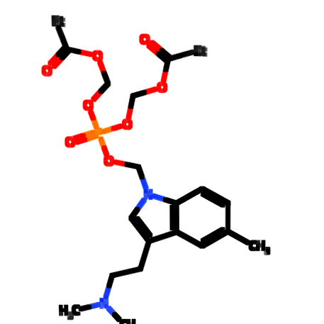 CCC(=O)OCOP(=O)(OCOC(=O)CC)OCn1cc(CCN(C)C)c2cc(C)ccc21